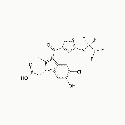 Cc1c(CC(=O)O)c2cc(O)c(Cl)cc2n1C(=O)c1csc(SC(F)(F)C(F)F)c1